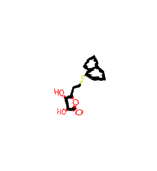 O=C1OC(CCSc2cccc3ccccc23)C(O)=C1O